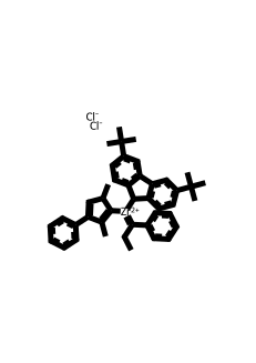 CC/[C](c1ccccc1)=[Zr+2](\[C]1=C(C)C(c2ccccc2)=CC1C)[CH]1c2ccc(C(C)(C)C)cc2-c2cc(C(C)(C)C)ccc21.[Cl-].[Cl-]